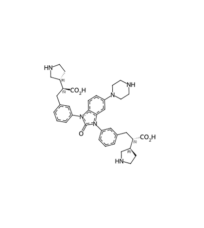 O=C(O)[C@@H](Cc1cccc(-n2c(=O)n(-c3cccc(C[C@H](C(=O)O)[C@H]4CCNC4)c3)c3cc(N4CCNCC4)ccc32)c1)[C@H]1CCNC1